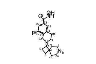 CN1CCC2(CCC2N2CCc3cc(C(=O)NO)cc(F)c3C2)CC1